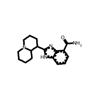 NC(=O)c1cccc2[nH]c(C3CCCN4CCCCC34)nc12